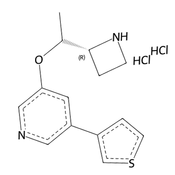 CC(Oc1cncc(-c2ccsc2)c1)[C@H]1CCN1.Cl.Cl